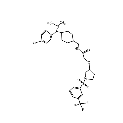 CN(C)C(c1ccc(Cl)cc1)C1CCC(CNC(=O)COC2CCN(S(=O)(=O)c3cccc(C(F)(F)F)c3)C2)CC1